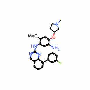 COc1cc(OC2CCN(C)C2)c(N)cc1Nc1ncc2cccc(-c3cccc(F)c3)c2n1